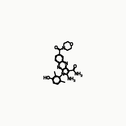 Cc1ccc(O)c(C)c1-n1c(N)c(C(N)=O)c2nc3cc(C(=O)N4CCOCC4)ccc3nc21